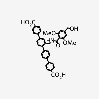 COc1cc(CO)cc(OC)c1C(=O)NCc1cc(-c2ccc(C(=O)O)cc2)ccc1-c1ccc(-c2ccc(C(=O)O)cc2)cc1